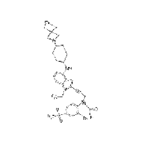 CC(C)C(=O)N(CC#Cc1cc2c(NC3CCC(N4CC5(COC5)C4)CC3)cccc2n1CC(F)(F)F)c1ccc(S(C)(=O)=O)cc1O